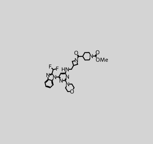 COC(=O)N1CCC(C(=O)N2CC(CNc3cc(-n4c(C(F)F)nc5ccccc54)nc(N4CCOCC4)n3)C2)CC1